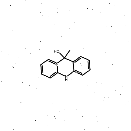 CC1(O)c2ccccc2Nc2ccccc21